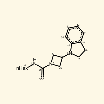 CCCCCCNC(=O)N1CC(N2CCc3ccccc32)C1